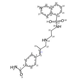 C/C(=C\c1ccc(C(N)=O)cc1)CNCCNS(=O)(=O)c1cccc2cnccc12